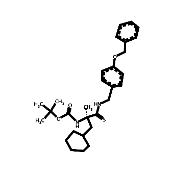 CC(C)(C)OC(=O)N[C@](C)(CC1CCCCC1)C(=S)NCc1ccc(OCc2ccccc2)cc1